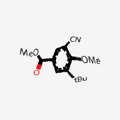 COC(=O)c1cc(C#N)c(OC)c(C(C)(C)C)c1